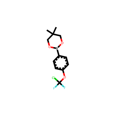 CC1(C)COB(c2ccc(OC(F)(F)Cl)cc2)OC1